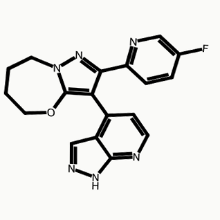 Fc1ccc(-c2nn3c(c2-c2ccnc4[nH]ncc24)OCCCC3)nc1